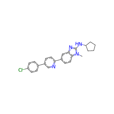 Cn1c(NC2CCCC2)nc2cc(-c3ccc(-c4ccc(Cl)cc4)cn3)ccc21